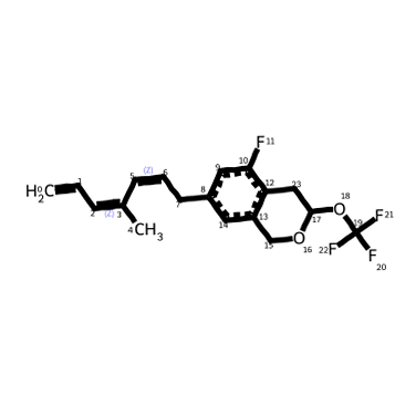 C=C/C=C(C)\C=C/Cc1cc(F)c2c(c1)COC(OC(F)(F)F)C2